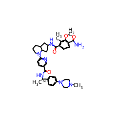 COc1c(C(N)=O)ccc(C(=O)NC2CC3CCCN(c4ccc(C(=O)N[C@@H](C)c5ccc(N6CCN(C)CC6)cc5)cn4)C3C2)c1C